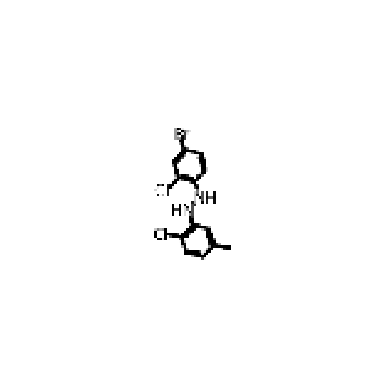 Cc1ccc(Cl)c(NNc2ccc(Br)cc2Cl)c1